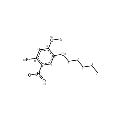 CCCCCOc1cc([N+](=O)[O-])c(F)cc1OC